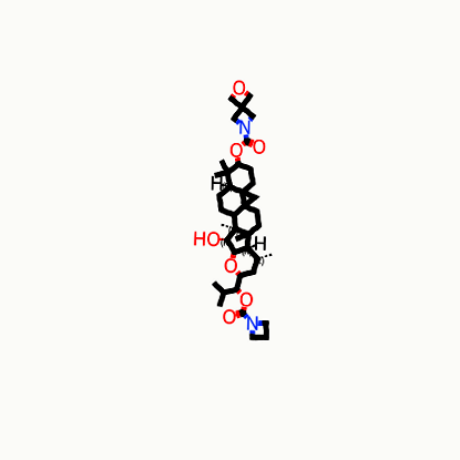 CC(C)C(OC(=O)N1CCC1)C1C[C@@H](C)[C@H]2C(O1)[C@H](O)[C@@]1(C)C3CC[C@H]4C(C)(C)C(OC(=O)N5CC6(COC6)C5)CCC45CC35CCC21C